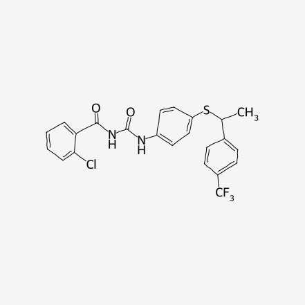 CC(Sc1ccc(NC(=O)NC(=O)c2ccccc2Cl)cc1)c1ccc(C(F)(F)F)cc1